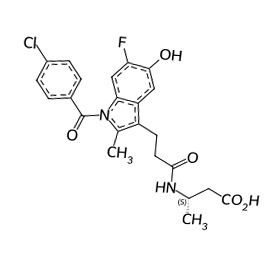 Cc1c(CCC(=O)N[C@@H](C)CC(=O)O)c2cc(O)c(F)cc2n1C(=O)c1ccc(Cl)cc1